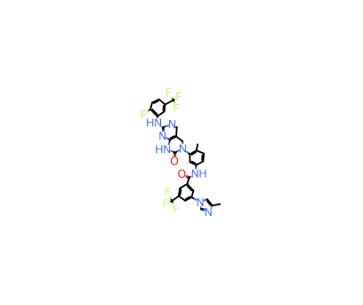 Cc1cn(-c2cc(C(=O)Nc3ccc(C)c(N4Cc5cnc(Nc6cc(C(F)(F)F)ccc6F)nc5NC4=O)c3)cc(C(F)(F)F)c2)cn1